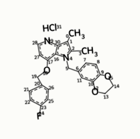 Cc1c(C)n(Cc2ccc3c(c2)OCCO3)c2c(OCc3ccc(F)cc3)ccnc12.Cl